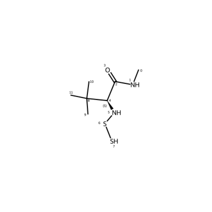 CNC(=O)[C@@H](NSS)C(C)(C)C